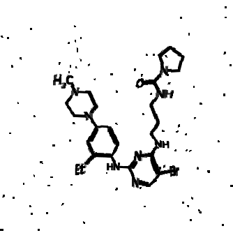 CCc1cc(N2CCN(C)CC2)ccc1Nc1ncc(Br)c(NCCCNC(=O)N2CCCC2)n1